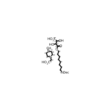 CCCCCCCCCCCCCCCCCCOC(=O)C(O)C(O)C(=O)O.CN1CCN(CC(=O)O)CC1